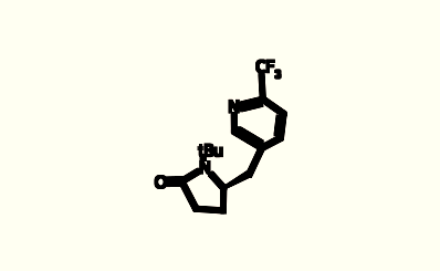 CC(C)(C)N1C(=O)CC[C@@H]1Cc1ccc(C(F)(F)F)nc1